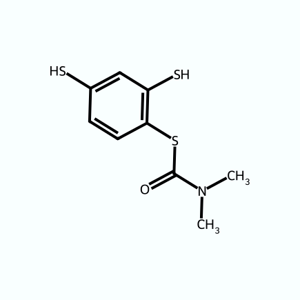 CN(C)C(=O)Sc1ccc(S)cc1S